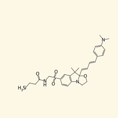 CN(C)c1ccc(/C=C/C=C/C23OCCN2c2ccc(S(=O)(=O)CNC(=O)CC[SiH3])cc2C3(C)C)cc1